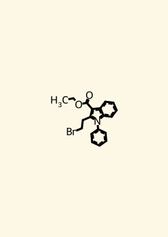 CCOC(=O)c1c(CCBr)n(-c2ccccc2)c2ccccc12